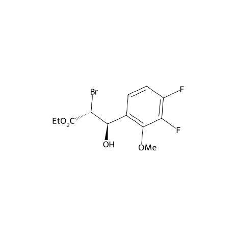 CCOC(=O)[C@H](Br)[C@H](O)c1ccc(F)c(F)c1OC